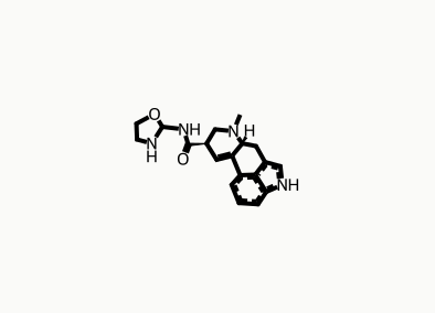 CN1C[C@H](C(=O)NC2NCCO2)C=C2c3cccc4[nH]cc(c34)C[C@H]21